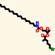 CCCCCCCCCCCCCCCCCCNC(=O)OCC1OCC1OC(=O)C(C)CCCCBr